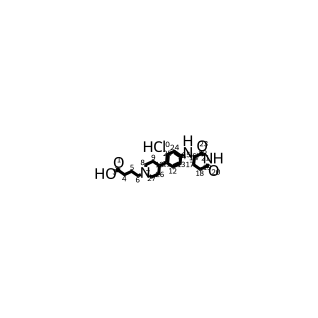 Cl.O=C(O)CCCN1CCC(c2ccc(N[C@H]3CCC(=O)NC3=O)cc2)CC1